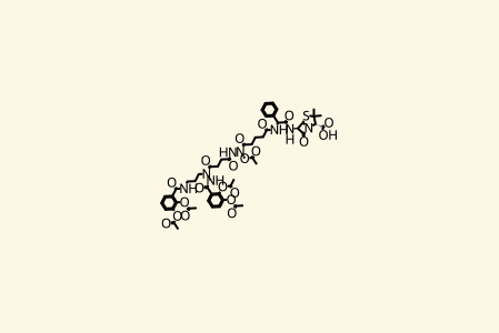 CC(=O)Oc1cccc(C(=O)NCCCN(NC(=O)c2cccc(OC(C)=O)c2OC(C)=O)C(=O)CCC(=O)NN(OC(C)=O)C(=O)CCCC(=O)NC(C(=O)N[C@@H]2C(=O)N3C2SC(C)(C)[C@@H]3C(=O)O)c2ccccc2)c1OC(C)=O